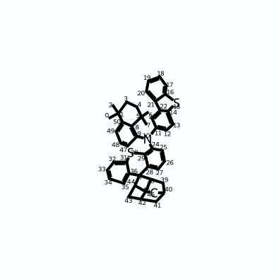 CC1(C)CCC(C)(C)c2c(N(c3ccc4sc5ccccc5c4c3)c3cccc4c3Sc3ccccc3C43C4CC5CC6CC3C64C5)cccc21